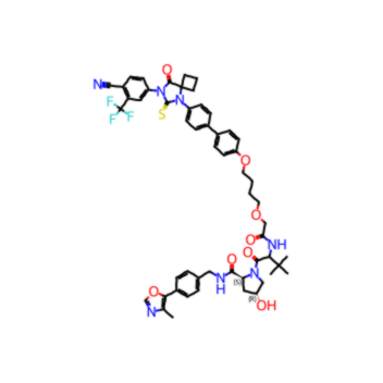 Cc1ncoc1-c1ccc(CNC(=O)[C@@H]2C[C@@H](O)CN2C(=O)C(NC(=O)COCCCCOc2ccc(-c3ccc(N4C(=S)N(c5ccc(C#N)c(C(F)(F)F)c5)C(=O)C45CCC5)cc3)cc2)C(C)(C)C)cc1